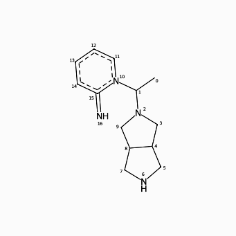 CC(N1CC2CNCC2C1)n1ccccc1=N